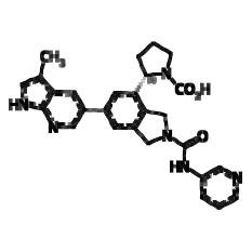 Cc1c[nH]c2ncc(-c3cc4c(c([C@@H]5CCCN5C(=O)O)c3)CN(C(=O)Nc3cccnc3)C4)cc12